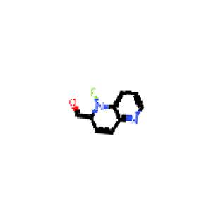 O=CC1C=Cc2ncccc2N1F